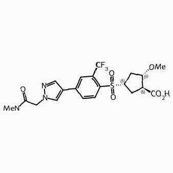 CNC(=O)Cn1cc(-c2ccc(S(=O)(=O)[C@@H]3C[C@H](OC)[C@@H](C(=O)O)C3)c(C(F)(F)F)c2)cn1